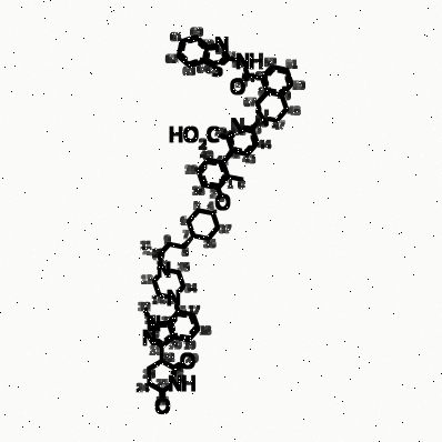 Cc1c(O[C@H]2CC[C@H](CC[C@@H](C)N3CCN(c4cccc5c(C6CCC(=O)NC6=O)nn(C)c45)CC3)CC2)cccc1-c1ccc(N2CCc3cccc(C(=O)Nc4nc5ccccc5s4)c3C2)nc1C(=O)O